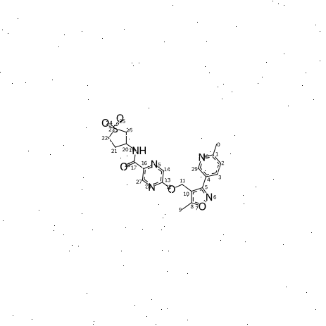 Cc1ccc(-c2noc(C)c2COc2cnc(C(=O)NC3CCS(=O)(=O)C3)cn2)cn1